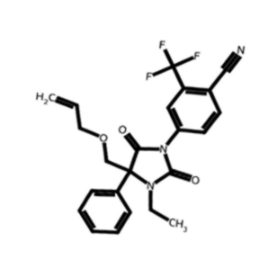 C=CCOCC1(c2ccccc2)C(=O)N(c2ccc(C#N)c(C(F)(F)F)c2)C(=O)N1CC